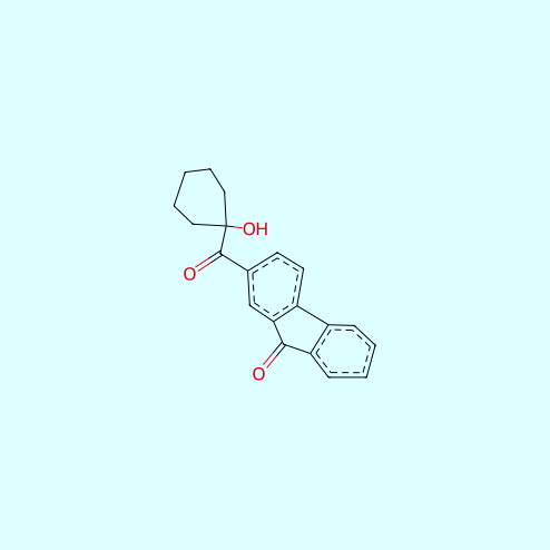 O=C1c2ccccc2-c2ccc(C(=O)C3(O)CCCCC3)cc21